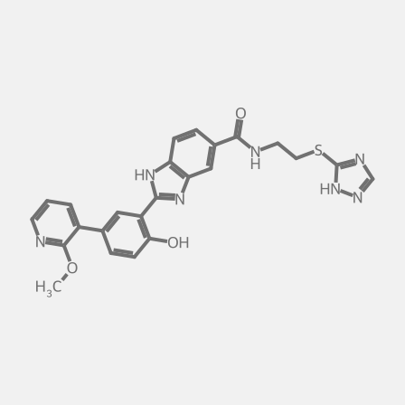 COc1ncccc1-c1ccc(O)c(-c2nc3cc(C(=O)NCCSc4ncn[nH]4)ccc3[nH]2)c1